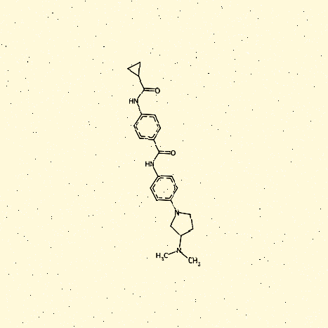 CN(C)C1CCN(c2ccc(NC(=O)c3ccc(NC(=O)C4CC4)cc3)cc2)C1